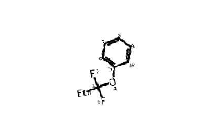 CCC(F)(F)Oc1ccccc1